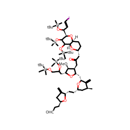 C=C1C[C@H](CCC=O)O[C@H]1CC[C@H]1C[C@H](C)C(=C)[C@@H](C[C@@H]2O[C@H](CC(CO[Si](C)(C)C(C)(C)C)O[Si](C)(C)C(C)(C)C)[C@@H](OC)[C@H]2CC(=O)C[C@H]2CC[C@@H]3O[C@H](C(/C=C/I)O[Si](C)(C)C(C)(C)C)C(O[Si](C)(C)C(C)(C)C)C(O[Si](C)(C)C(C)(C)C)[C@@H]3O2)O1